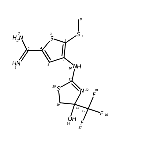 CSc1sc(C(=N)N)cc1NC1=NC(O)(C(F)(F)F)CS1